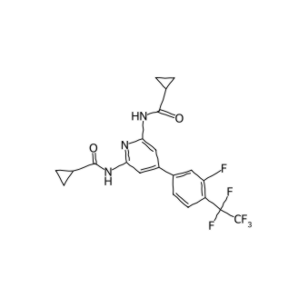 O=C(Nc1cc(-c2ccc(C(F)(F)C(F)(F)F)c(F)c2)cc(NC(=O)C2CC2)n1)C1CC1